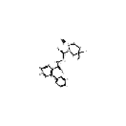 N#C[C@@H]1CCC(F)(F)CN1C(=O)CNC(=O)c1ccncc1-c1ccccc1